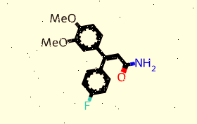 COc1ccc(/C(=C/C(N)=O)c2ccc(F)cc2)cc1OC